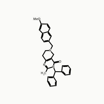 COc1ccc2cc(CN3CCc4nc(C)n(C(c5ccccc5)c5ccccc5)c(=O)c4C3)ccc2c1